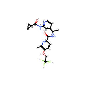 Cc1nc(C(=O)NC(C)c2ccnc(NC(=O)C3CC3)c2)ccc1OCC(F)(F)F